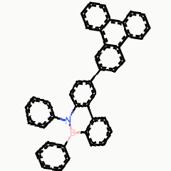 c1ccc(B2c3ccccc3-c3cc(-c4ccc5c6ccccc6c6ccccc6c5c4)ccc3N2c2ccccc2)cc1